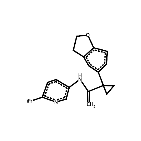 C=C(Nc1ccc(C(C)C)nc1)C1(c2ccc3c(c2)CCO3)CC1